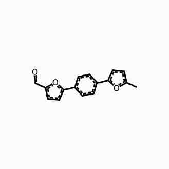 Cc1ccc(-c2ccc(-c3ccc(C=O)o3)cc2)o1